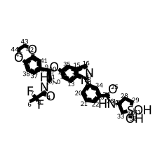 C[C@H](NC(=O)C(C)(F)F)[C@H](Oc1ccc2c(cnn2-c2cccc(C(=O)N[C@@H]3CCS(O)(O)C3)c2)c1)c1ccc2c(c1)OCCO2